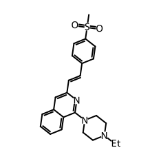 CCN1CCN(c2nc(C=Cc3ccc(S(C)(=O)=O)cc3)cc3ccccc23)CC1